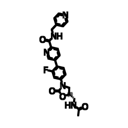 CC(=O)NC[C@H]1CN(c2ccc(-c3ccc(C(=O)NCc4ccncc4)nc3)c(F)c2)C(=O)O1